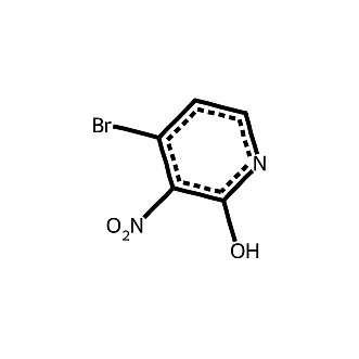 O=[N+]([O-])c1c(Br)ccnc1O